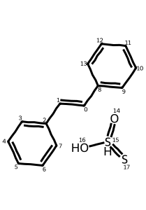 C(=Cc1ccccc1)c1ccccc1.O=[SH](O)=S